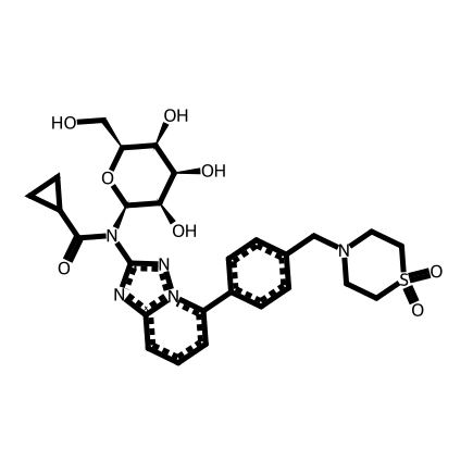 O=C(C1CC1)N(c1nc2cccc(-c3ccc(CN4CCS(=O)(=O)CC4)cc3)n2n1)[C@H]1O[C@@H](CO)[C@@H](O)[C@@H](O)[C@H]1O